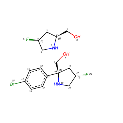 OC[C@@H]1C[C@H](F)CN1.OC[C@@]1(c2ccc(Br)cc2)C[C@H](F)CN1